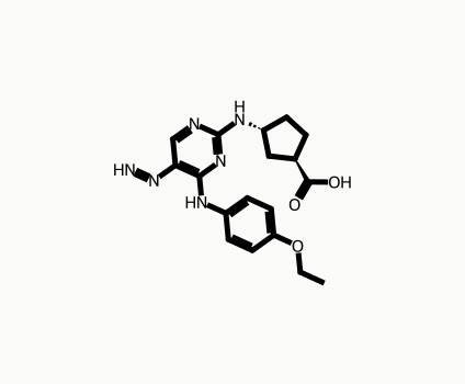 CCOc1ccc(Nc2nc(N[C@@H]3CC[C@@H](C(=O)O)C3)ncc2N=N)cc1